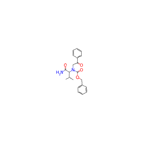 CC(C)C(C(N)=O)N(CC(=O)c1ccccc1)C(=O)OCc1ccccc1